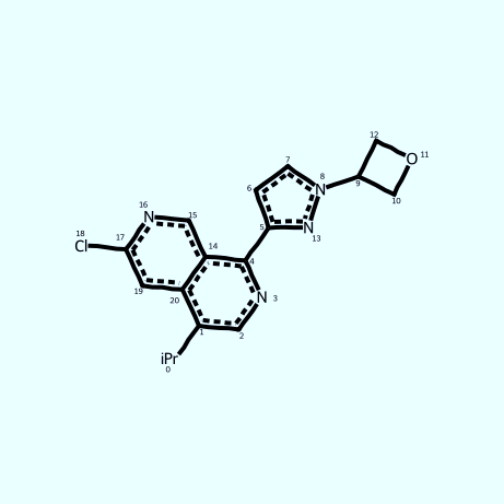 CC(C)c1cnc(-c2ccn(C3COC3)n2)c2cnc(Cl)cc12